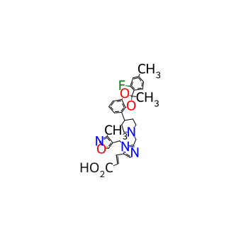 Cc1ccc(C2(C)Oc3cccc(C4CCN(Cc5ncc(/C=C/C(=O)O)n5Cc5conc5C)CC4)c3O2)c(F)c1